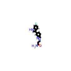 NC(=O)CCn1cc2ccc(-c3c[nH]c4cc(F)ccc34)cc2n1